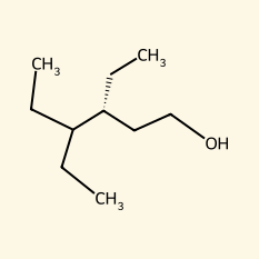 CCC(CC)[C@H](CC)CCO